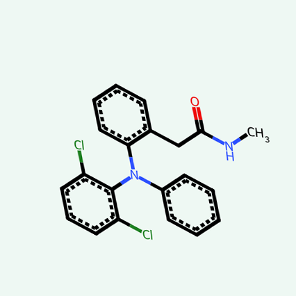 CNC(=O)Cc1ccccc1N(c1ccccc1)c1c(Cl)cccc1Cl